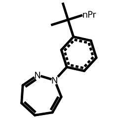 CCCC(C)(C)c1cccc(N2C=CC=CC=N2)c1